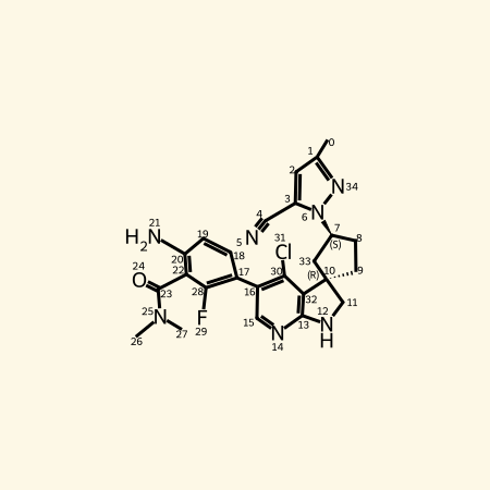 Cc1cc(C#N)n([C@H]2CC[C@@]3(CNc4ncc(-c5ccc(N)c(C(=O)N(C)C)c5F)c(Cl)c43)C2)n1